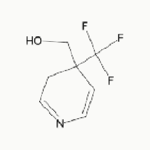 OCC1(C(F)(F)F)C=CN=CC1